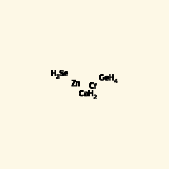 [CaH2].[Cr].[GeH4].[SeH2].[Zn]